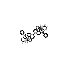 Cc1cc2c3c(nc4oc5ccc(-c6ccc7oc8nc9c(C)c(C)cc%10c9n8c8c(ccc6c78)B%10c6ccccc6)c6ccc(c(c56)n43)B2c2ccccc2)c1C